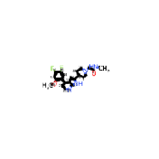 CNC(=O)CN1CCC(c2cc3c(-c4cc(F)c(F)cc4OC)ccnc3[nH]2)CC1